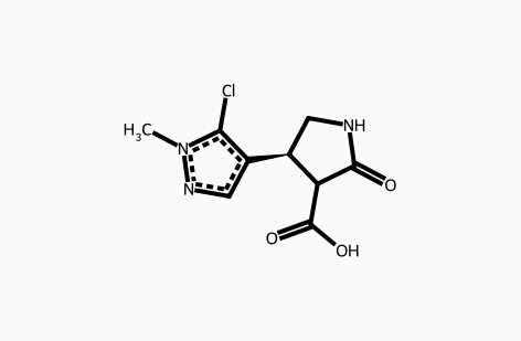 Cn1ncc([C@H]2CNC(=O)C2C(=O)O)c1Cl